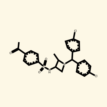 CC(=O)c1ccc(S(=O)(=O)NC2CN(C(c3ccc(Cl)cc3)c3ccc(Cl)cc3)C2C)cc1